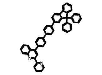 c1ccc(C2(c3ccccc3)c3ccccc3-c3ccc(-c4ccc(-c5ccc(-c6cc(-c7ccccn7)nc7ccccc67)cc5)cc4)cc32)cc1